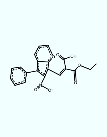 CCOC(=O)C(=Cc1c2occcc-2c(-c2ccccc2)c1[N+](=O)[O-])C(=O)O